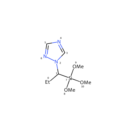 CCC(n1cncn1)[Si](OC)(OC)OC